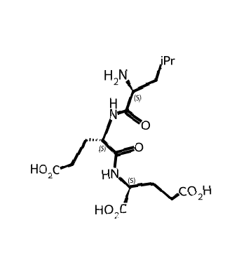 CC(C)C[C@H](N)C(=O)N[C@@H](CCC(=O)O)C(=O)N[C@@H](CCC(=O)O)C(=O)O